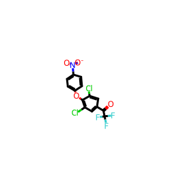 O=C(c1cc(Cl)c(Oc2ccc([N+](=O)[O-])cc2)c(Cl)c1)C(F)(F)F